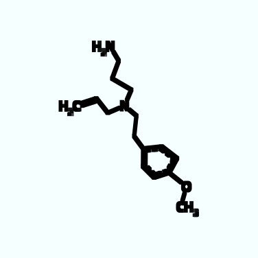 C=CCN(CCCN)CCc1ccc(OC)cc1